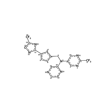 FC(F)(F)c1ncc(N(Cc2ccc(-c3noc(C(F)(F)F)n3)s2)c2cnccn2)cn1